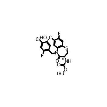 CC(C)(C)OC(=O)N[C@H]1CSc2cc(F)c(C(=O)O)cc2N(Cc2ccc(Cl)cc2F)C1=O